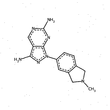 CN1Cc2ccc(-n3nc(N)c4cnc(N)nc43)cc2C1